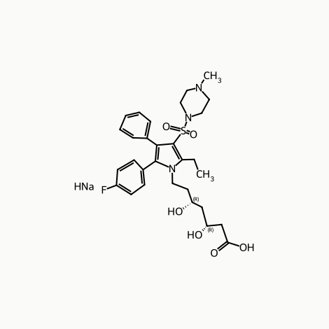 CCc1c(S(=O)(=O)N2CCN(C)CC2)c(-c2ccccc2)c(-c2ccc(F)cc2)n1CC[C@@H](O)C[C@@H](O)CC(=O)O.[NaH]